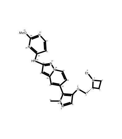 CCN1CC[C@@H]1COc1cnn(C)c1-c1ccn2nc(Nc3ccnc(OC)n3)cc2c1